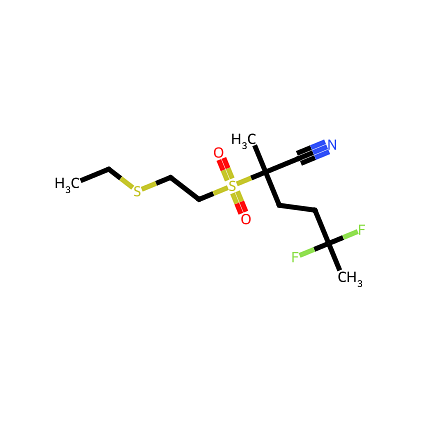 CCSCCS(=O)(=O)C(C)(C#N)CCC(C)(F)F